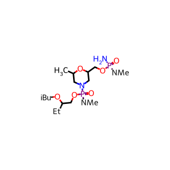 CCC(C)OC(CC)COP(=O)(NC)N1CC(C)OC(COP(N)(=O)NC)C1